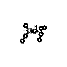 C1=C(C2NC(c3ccccc3)NC(c3ccc(-c4ccccc4)cc3)N2)CNC(n2c3cc(-c4ccccc4)ccc3c3c4ccccc4ccc32)=C1